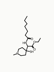 CCCCCCC(=O)NC(C(=O)OCC)C1(S)CCN(C)CC1